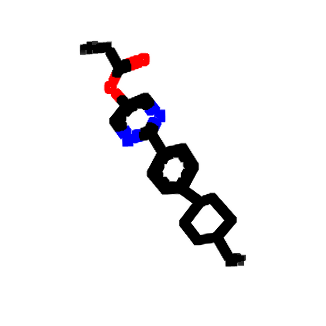 CCCCCCC(=O)Oc1cnc(-c2ccc(C3CCC(CCC)CC3)cc2)nc1